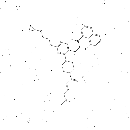 CN(C)C/C=C/C(=O)N1CCN(c2nc(OCCOC3CC3)nc3c2CCN(c2cncc4cccc(F)c24)C3)CC1